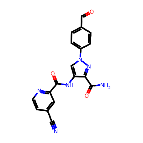 N#Cc1ccnc(C(=O)Nc2cn(-c3ccc(C=O)cc3)nc2C(N)=O)c1